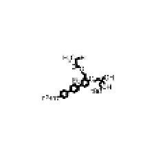 CCCCCc1ccc(-c2ccc(-c3ccc(OCCC(CO)(CO)CCC(C)(C)C)c(CCOC4OC4C(C)C(C)C)c3)c(CC)c2)cc1